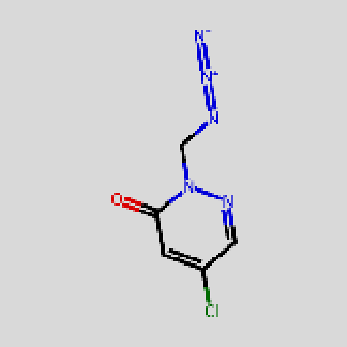 [N-]=[N+]=NCn1ncc(Cl)cc1=O